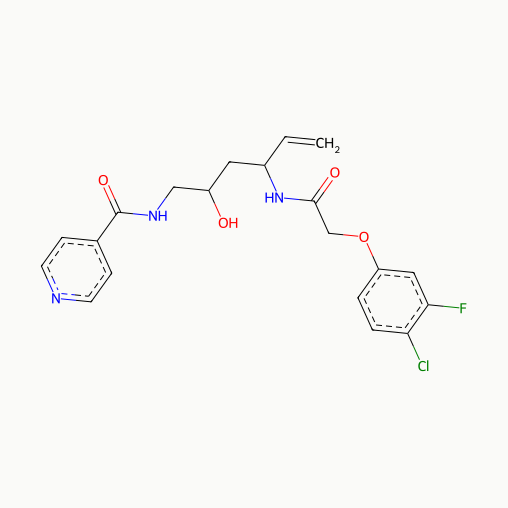 C=CC(CC(O)CNC(=O)c1ccncc1)NC(=O)COc1ccc(Cl)c(F)c1